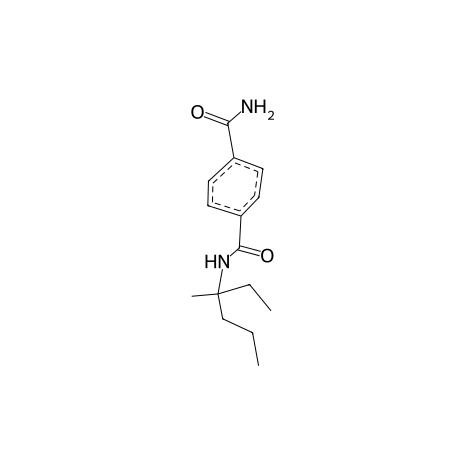 CCCC(C)(CC)NC(=O)c1ccc(C(N)=O)cc1